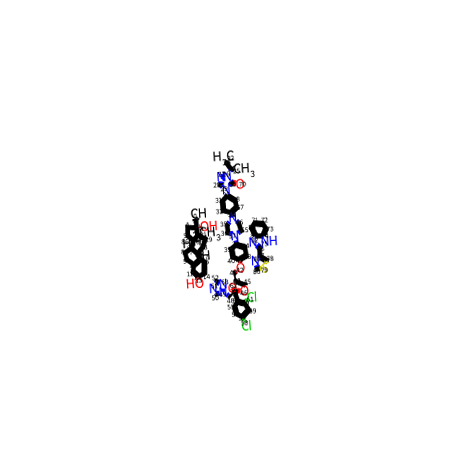 C#C[C@]1(O)CC[C@H]2[C@@H]3CCc4cc(O)ccc4[C@H]3CC[C@@]21C.CCC(C)n1ncn(-c2ccc(N3CCN(c4ccc(OC[C@H]5CO[C@](Cn6cncn6)(c6ccc(Cl)cc6Cl)O5)cc4)CC3)cc2)c1=O.c1ccc2[nH]c(-c3cscn3)nc2c1